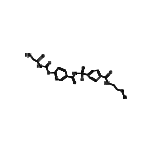 CCOCCNC(=O)c1ccc(S(=O)(=O)NC(=O)c2ccc(OC(=O)NC(=O)CN)nc2)cc1